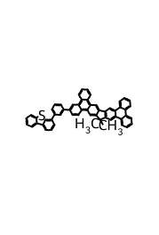 CC1(C)c2cc3c4ccccc4c4ccccc4c3cc2-c2cc3c4ccccc4c4cc(-c5cccc(-c6cccc7c6sc6ccccc67)c5)ccc4c3cc21